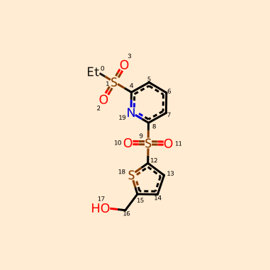 CCS(=O)(=O)c1cccc(S(=O)(=O)c2ccc(CO)s2)n1